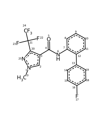 Cn1cc(C(=O)Nc2ccccc2-c2ccc(F)cc2)c(C(F)(F)C(F)(F)F)n1